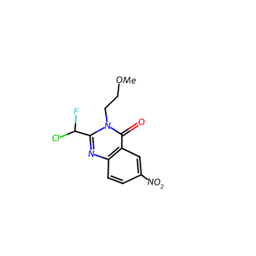 COCCn1c(C(F)Cl)nc2ccc([N+](=O)[O-])cc2c1=O